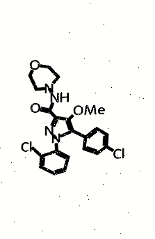 COc1c(C(=O)NN2CCOCC2)nn(-c2ccccc2Cl)c1-c1ccc(Cl)cc1